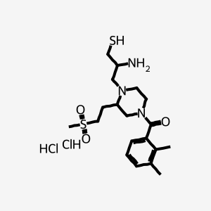 Cc1cccc(C(=O)N2CCN(CC(N)CS)C(CCS(C)(=O)=O)C2)c1C.Cl.Cl